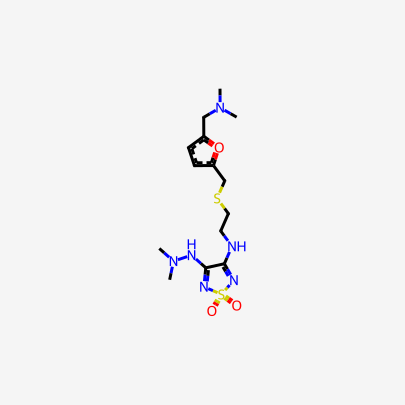 CN(C)Cc1ccc(CSCCNC2=NS(=O)(=O)N=C2NN(C)C)o1